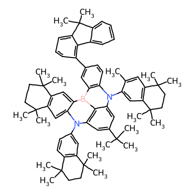 Cc1cc2c(cc1N1c3ccc(-c4cccc5c4-c4ccccc4C5(C)C)cc3B3c4cc5c(cc4N(c4ccc6c(c4)C(C)(C)CCC6(C)C)c4cc(C(C)(C)C)cc1c43)C(C)(C)CCC5(C)C)C(C)(C)CCC2(C)C